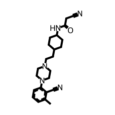 Cc1cccc(N2CCN(CCC3CCC(NC(=O)CC#N)CC3)CC2)c1C#N